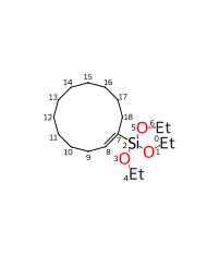 CCO[Si](OCC)(OCC)C1=CCCCCCCCCCC1